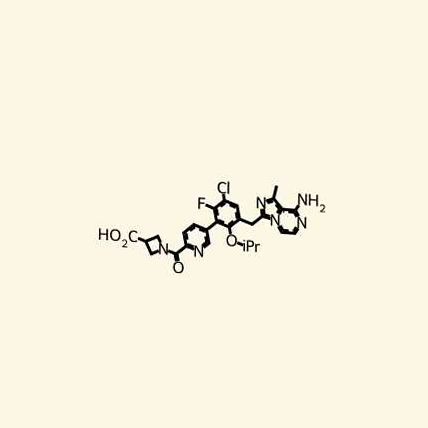 Cc1nc(Cc2cc(Cl)c(F)c(-c3ccc(C(=O)N4CC(C(=O)O)C4)nc3)c2OC(C)C)n2ccnc(N)c12